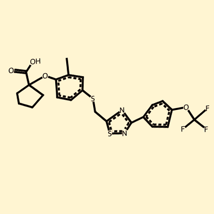 Cc1cc(SCc2nc(-c3ccc(OC(F)(F)F)cc3)ns2)ccc1OC1(C(=O)O)CCCC1